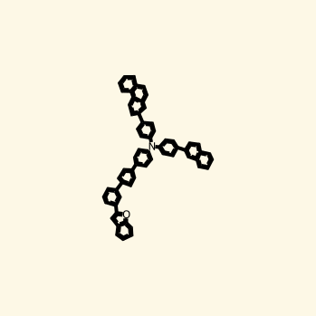 c1cc(-c2ccc(-c3ccc(N(c4ccc(-c5ccc6ccccc6c5)cc4)c4ccc(-c5ccc6c(ccc7ccccc76)c5)cc4)cc3)cc2)cc(-c2cc3ccccc3o2)c1